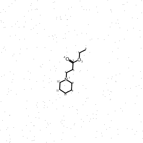 CCOC(=O)CCN1CCCCC1